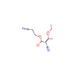 CCO/C(C)=C(/C#N)C(=O)OCCC#N